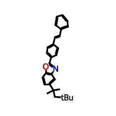 CC(C)(C)CC(C)(C)c1ccc2oc(-c3ccc(C=Cc4ccccc4)cc3)nc2c1